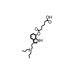 CCCN(CCC)CCc1c[nH]c2c(OC(=O)CCCCC(=O)O)cccc12